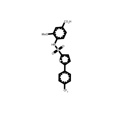 COc1cc(C(=O)O)ccc1NS(=O)(=O)c1ccc(-c2ccc(C(F)(F)F)cc2)s1